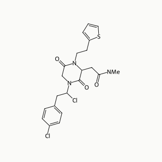 CNC(=O)CC1C(=O)N(C(Cl)Cc2ccc(Cl)cc2)CC(=O)N1CCc1cccs1